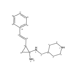 NC1(NCC2CCNCC2)CC1/C=C/c1ccccc1